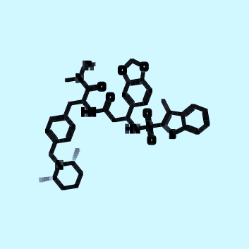 Cc1c(S(=O)(=O)NC(CC(=O)NC(Cc2ccc(CN3[C@H](C)CCC[C@@H]3C)cc2)C(=O)N(C)C(C)C)c2ccc3c(c2)OCO3)sc2ccccc12